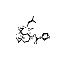 CO[C@@H]1[C@H](OC(=O)n2ccnc2)CC[C@]2(CO2)[C@H]1[C@@]1(C)O[C@@H]1CC=C(C)C